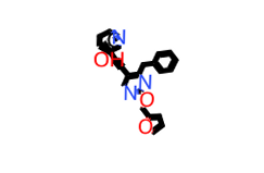 O[C@]1(C#Cc2cnc(OCc3ccco3)nc2Cc2ccccc2)CN2CCC1CC2